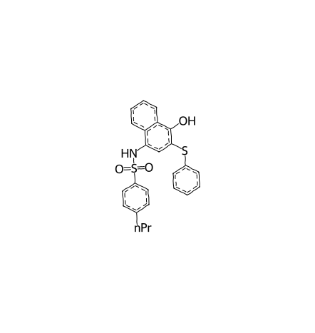 CCCc1ccc(S(=O)(=O)Nc2cc(Sc3ccccc3)c(O)c3ccccc23)cc1